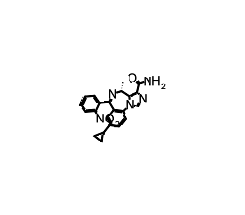 C[C@H]1N=C(c2ccccc2[N+](=O)[O-])c2cc(C3CC3)ccc2-n2cnc(C(N)=O)c21